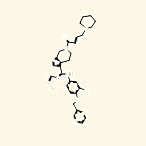 C/N=C\N=C(\Nc1ccc(OCc2cnccn2)c(Cl)c1)c1csc2c1CCN(C(=O)/C=C/CN1CCCCC1)C2